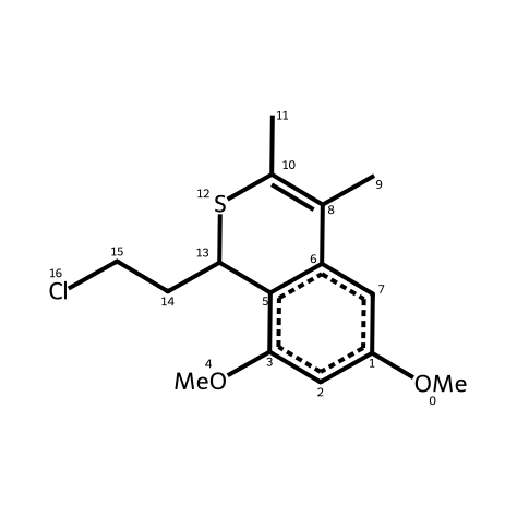 COc1cc(OC)c2c(c1)C(C)=C(C)SC2CCCl